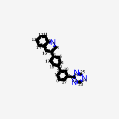 c1cc(-c2ccc(-c3cnc4ccccc4c3)cc2)cc(-c2ncncn2)c1